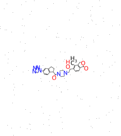 Cc1c([C@@H](O)CN2CCN(C(=O)C3CCc4cc(-n5cnnn5)ccc43)CC2)ccc2c1COC2=O